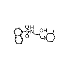 CC1CCCN(C[C@@H](O)CNS(=O)(=O)c2cccc3ccccc23)C1